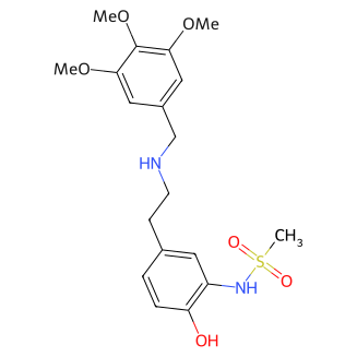 COc1cc(CNCCc2ccc(O)c(NS(C)(=O)=O)c2)cc(OC)c1OC